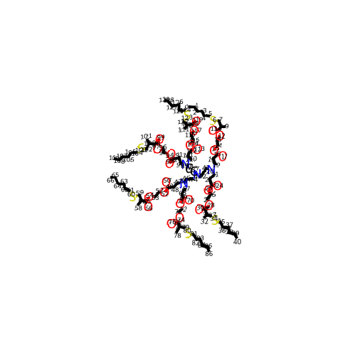 CCCCCCSCC(C)C(=O)OCCOC(=O)CCN(CCC(=O)OCCOC(=O)C(C)CSCCCCCC)CCN(CCN(CCC(=O)OCCOC(=O)C(C)CSCCCCCC)CCC(=O)OCCOC(=O)C(C)CSCCCCCC)CCN(CCC(=O)OCCOC(=O)C(C)CSCCCCCC)CCC(=O)OCCOC(=O)C(C)CSCCCCCC